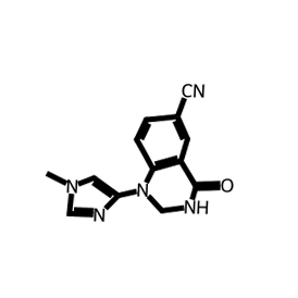 Cn1cnc(N2CNC(=O)c3cc(C#N)ccc32)c1